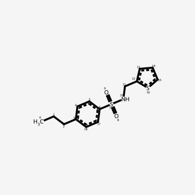 CCCc1ccc(S(=O)(=O)NCc2cccs2)cc1